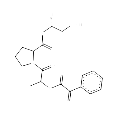 CC(NC(=O)C(=O)c1ccccc1)C(=O)N1CCCC1C(=O)N[C@H](C=O)CC(=O)O